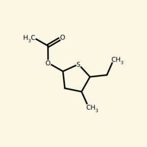 CCC1SC(OC(C)=O)CC1C